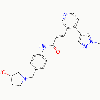 Cn1cc(-c2ccncc2/C=C/C(=O)Nc2ccc(CN3CCC(O)C3)cc2)cn1